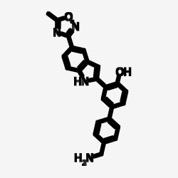 Cc1nc(-c2ccc3[nH]c(-c4cc(-c5ccc(CN)cc5)ccc4O)cc3c2)no1